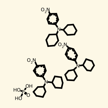 O=P(O)(O)O.O=[N+]([O-])c1ccc(N(C2CCCCC2)C2CCCCC2)cc1.O=[N+]([O-])c1ccc(N(C2CCCCC2)C2CCCCC2)cc1.O=[N+]([O-])c1ccc(N(C2CCCCC2)C2CCCCC2)cc1